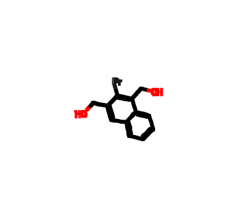 CC(C)c1c(CO)cc2ccccc2c1CO